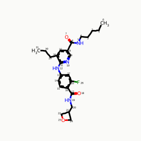 CCCCCNC(=O)c1cnc(Nc2ccc(C(=O)NCC3COC3)c(F)c2)c(CCC)c1